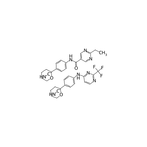 CCc1ncc(C(=O)Nc2ccc(C34CCC(CO3)NC4)cc2)cn1.FC(F)(F)c1nccc(Nc2ccc(C34CCC(CO3)NC4)cc2)n1